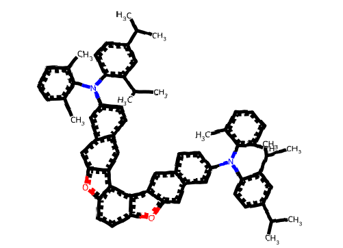 Cc1cccc(C)c1N(c1ccc2cc3c(cc2c1)oc1ccc2oc4cc5cc(N(c6ccc(C(C)C)cc6C(C)C)c6c(C)cccc6C)ccc5cc4c2c13)c1ccc(C(C)C)cc1C(C)C